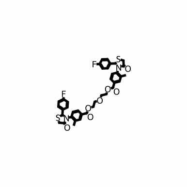 Cc1cc(C(=O)OCCOCCOC(=O)c2ccc(N3C(=O)CSC3c3ccc(F)cc3)c(C)c2)ccc1N1C(=O)CSC1c1ccc(F)cc1